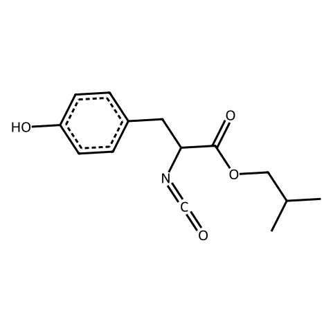 CC(C)COC(=O)C(Cc1ccc(O)cc1)N=C=O